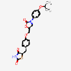 CC(C)Oc1ccc(N2CC(COc3ccc(CC4SC(=O)NC4=O)cc3)OC2=O)cc1